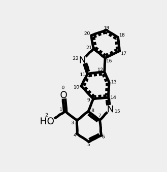 O=C(O)C1CC=CC2=C1c1cc3c(cc1=N2)-c1ccccc1N=3